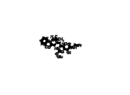 CC[C@H](C[C@H](O)[C@H](CN1CC(=O)N(c2ccccc2Cl)CC1(C)C)NC(=O)OC(C)(C)C)C(=O)NCC(C)C